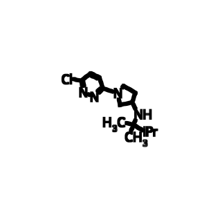 CC(C)C(C)(C)NC1CCN(c2ccc(Cl)nn2)C1